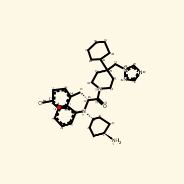 N[C@H]1CC[C@H](N(c2ccccc2)[C@H](Cc2ccc(Cl)cc2)C(=O)N2CCC(Cn3cncn3)(C3CCCCC3)CC2)CC1